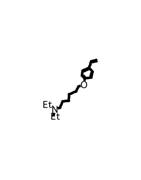 C=Cc1ccc(OCCCCCCN(CC)CC)cc1